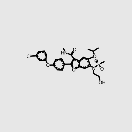 CNC(=O)c1c(-c2ccc(Oc3cccc(Cl)c3)cc2)oc2cc(N(CCO)S(C)(=O)=O)c(OC(C)C)cc12